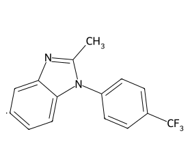 Cc1nc2c[c]ccc2n1-c1ccc(C(F)(F)F)cc1